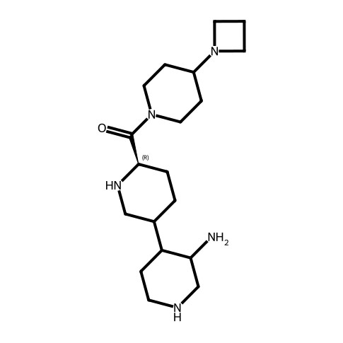 NC1CNCCC1C1CC[C@H](C(=O)N2CCC(N3CCC3)CC2)NC1